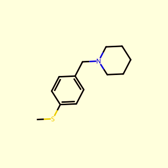 CSc1ccc(CN2CCCCC2)cc1